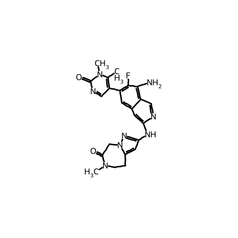 Cc1c(-c2cc3cc(Nc4cc5n(n4)CC(=O)N(C)CC5)ncc3c(N)c2F)cnc(=O)n1C